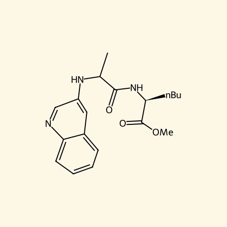 CCCC[C@H](NC(=O)C(C)Nc1cnc2ccccc2c1)C(=O)OC